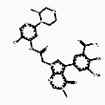 COc1cc(-c2cn(CC(=O)Nc3cc(N4CCOC[C@@H]4C)ncc3Cl)c3ncn(C)c(=O)c23)cc(C(N)=O)c1O